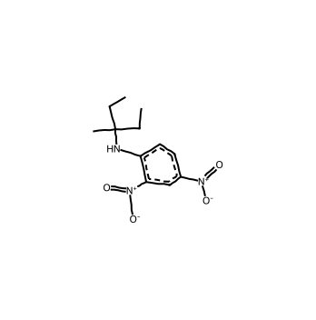 CCC(C)(CC)Nc1ccc([N+](=O)[O-])cc1[N+](=O)[O-]